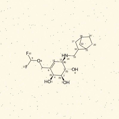 O[C@@H]1[C@@H](O)[C@@H](O)C(COC(F)F)=C[C@H]1NCC1CC2CCC1C2